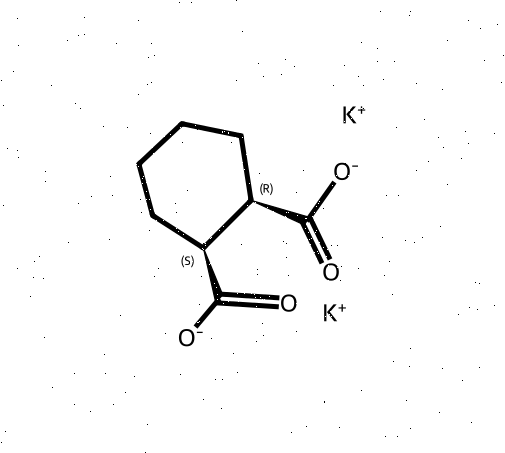 O=C([O-])[C@H]1CCCC[C@H]1C(=O)[O-].[K+].[K+]